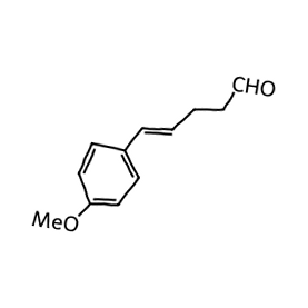 COc1ccc(C=CCCC=O)cc1